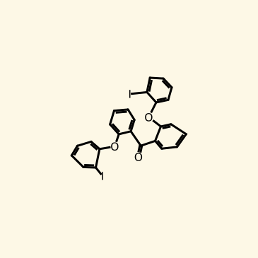 O=C(c1ccccc1Oc1ccccc1I)c1ccccc1Oc1ccccc1I